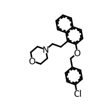 Clc1ccc(COc2ccc3ccccc3c2CCN2CCOCC2)cc1